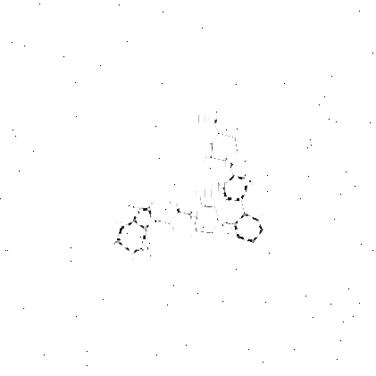 CC1CN(c2ccccc2-c2cnc(N3CCC(O)CC3)nc2)CCN1C(=O)Cn1cnc2cccnc21